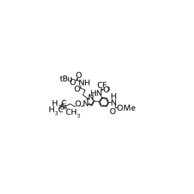 COC(=O)Nc1ccc(-c2cn(COCC[Si](C)(C)C)c(CCC(=O)NC(=O)OC(C)(C)C)n2)c(NC(=O)C(F)(F)F)c1